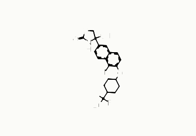 CCC(F)(F)C1CCC(Oc2ccc3cc(C4(C)COC(=O)N4)ccc3c2I)CC1